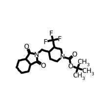 CC(C)(C)OC(=O)N1CCC(CN2C(=O)C3CCCCC3C2=O)C(C(F)(F)F)C1